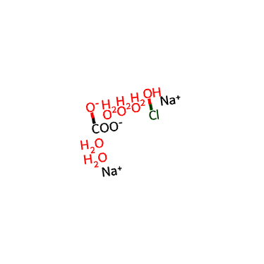 O.O.O.O.O.O=C([O-])[O-].OCl.[Na+].[Na+]